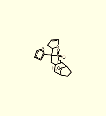 CN1C2CCC1CC(CC(c1cccs1)(C1CC=CS1)S(=O)(=O)Cl)C2